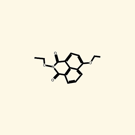 CCOc1ccc2c3c(cccc13)C(=O)N(OCC)C2=O